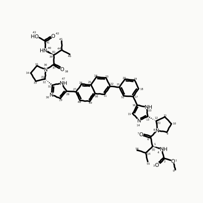 COC(=O)N[C@H](C(=O)N1CCC[C@H]1c1ncc(-c2cccc(-c3ccc4cc(-c5cnc([C@@H]6CCCN6C(=O)[C@@H](NC(=O)O)C(C)C)[nH]5)ccc4c3)c2)[nH]1)C(C)C